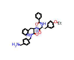 CCOc1ccc(C[C@@H](NC(=O)c2ccccc2)C(=O)NC(Cc2ccccc2)C(=O)NCc2ccc(CN)cc2)cc1